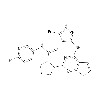 CC(C)c1cc(Nc2nc(N3CCCC3C(=O)Nc3ccc(F)nc3)nc3c2C=CC3)n[nH]1